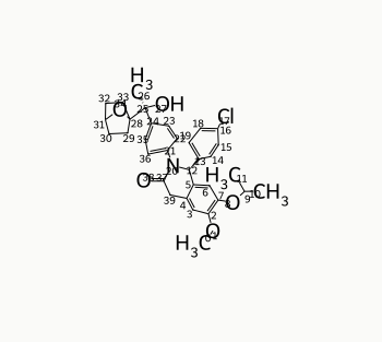 COc1cc2c(cc1OC(C)C)[C@H](c1ccc(Cl)cc1)N(c1ccc([C@](C)(O)C34CCC(CC3)O4)cc1)C(=O)C2